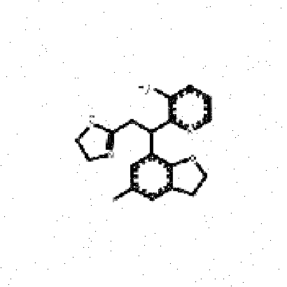 Cc1cccnc1C(CC1=NCCN1)c1cc(I)cc2c1OCC2